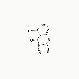 O=C(N1C=CC=CC1Br)N1C=CC=CC1Br